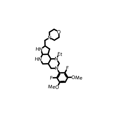 CCN1CN(c2c(F)c(OC)cc(OC)c2F)CC2CNC3NC(CN4CCOCC4)CC3C21